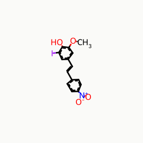 COc1cc(C=Cc2ccc([N+](=O)[O-])cc2)cc(I)c1O